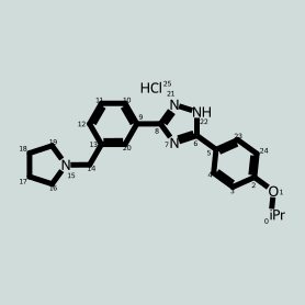 CC(C)Oc1ccc(-c2nc(-c3cccc(CN4CCCC4)c3)n[nH]2)cc1.Cl